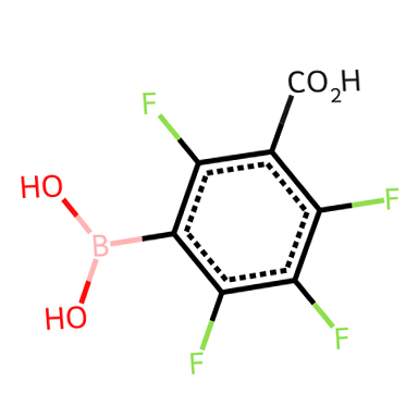 O=C(O)c1c(F)c(F)c(F)c(B(O)O)c1F